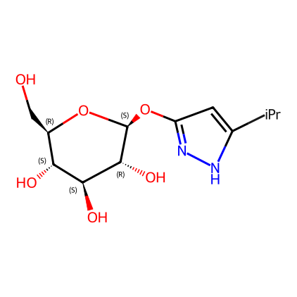 CC(C)c1cc(O[C@@H]2O[C@H](CO)[C@@H](O)[C@H](O)[C@H]2O)n[nH]1